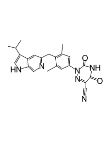 Cc1cc(-n2nc(C#N)c(=O)[nH]c2=O)cc(C)c1Cc1cc2c(C(C)C)c[nH]c2cn1